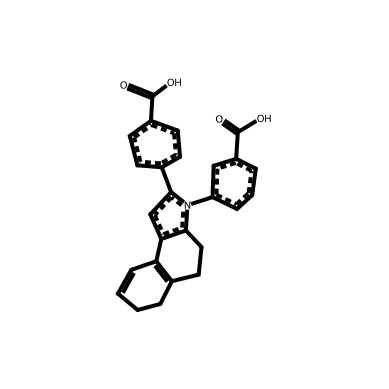 O=C(O)c1ccc(-c2cc3c(n2-c2cccc(C(=O)O)c2)CCC2=C3C=CCC2)cc1